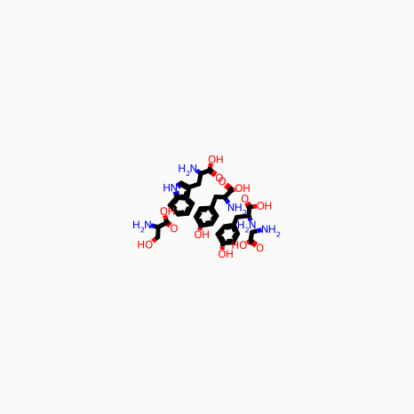 NC(CO)C(=O)O.NC(Cc1c[nH]c2ccccc12)C(=O)O.NC(Cc1ccc(O)cc1)C(=O)O.NC(Cc1ccc(O)cc1)C(=O)O.NCC(=O)O